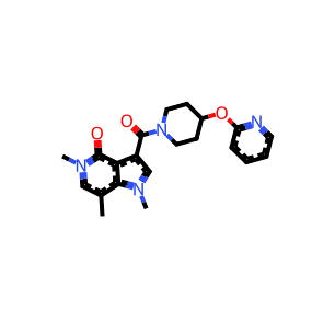 Cc1cn(C)c(=O)c2c(C(=O)N3CCC(Oc4ccccn4)CC3)cn(C)c12